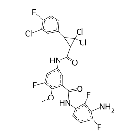 COc1c(F)cc(NC(=O)C2C(c3ccc(F)c(Cl)c3)C2(Cl)Cl)cc1C(=O)Nc1ccc(F)c(N)c1F